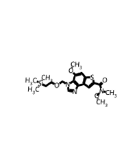 COc1cc2sc(C(=O)N(C)OC)cc2c2ncn(COCC[Si](C)(C)C)c12